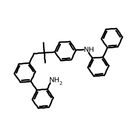 CC(C)(Cc1cccc(-c2ccccc2N)c1)c1ccc(Nc2ccccc2-c2ccccc2)cc1